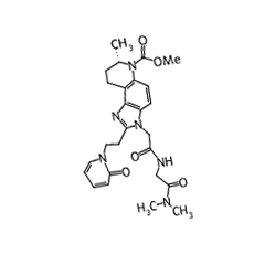 COC(=O)N1c2ccc3c(nc(CCn4ccccc4=O)n3CC(=O)NCC(=O)N(C)C)c2CC[C@@H]1C